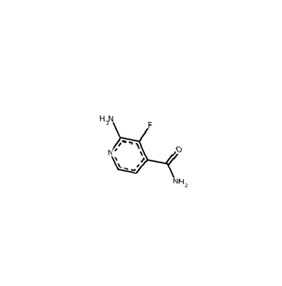 NC(=O)c1ccnc(N)c1F